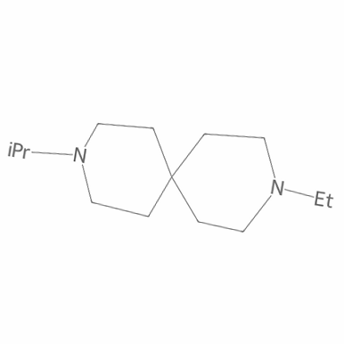 CCN1CCC2(CC1)CCN(C(C)C)CC2